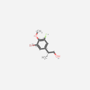 COc1c(F)cc([C@@H](C)CO)cc1Br